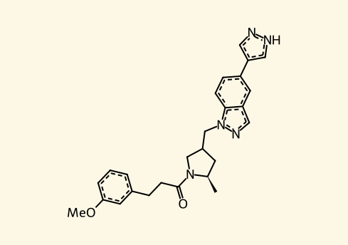 COc1cccc(CCC(=O)N2CC(Cn3ncc4cc(-c5cn[nH]c5)ccc43)C[C@H]2C)c1